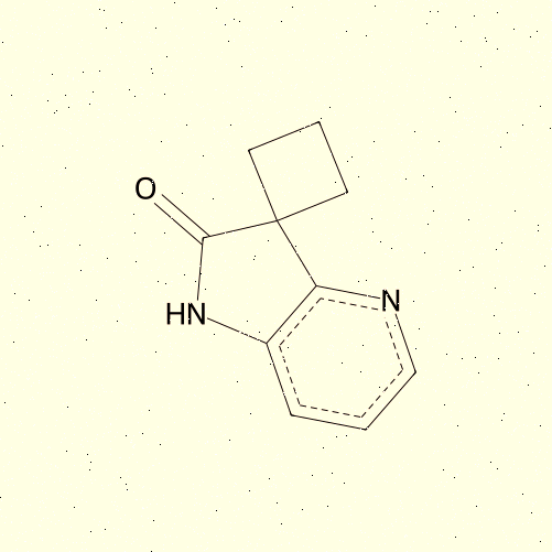 O=C1Nc2cccnc2C12CCC2